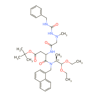 CCOC(OCC)[C@H](C)N(Cc1cccc2ccccc12)C(=O)C(CC(=O)OC(C)(C)C)NC(=O)CN(C)NC(=O)NCc1ccccc1